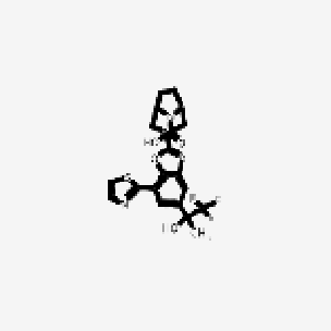 CC(O)(c1cc(-c2nccs2)c2oc(N3CC4CCC(C3)N4C(=O)O)nc2c1)C(F)(F)F